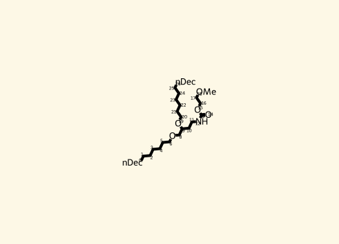 CCCCCCCCCCCCCCCCOCC(CCNC(=O)OCCOC)OCCCCCCCCCCCCCCCC